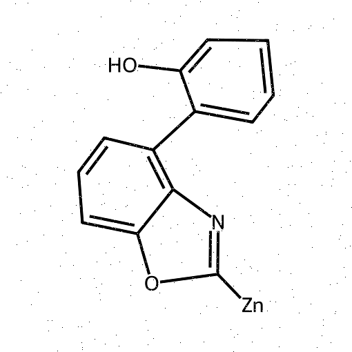 Oc1ccccc1-c1cccc2o[c]([Zn])nc12